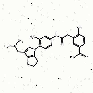 Cc1cc(NC(=O)Cc2cc(C(=N)N)ccc2O)ccc1-n1nc(CN(C)C)c2c1CCC2